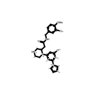 COc1ccc(CNC(=O)CC2CNCCN2c2cc(Cl)nc(-n3ccnc3)n2)cc1Cl